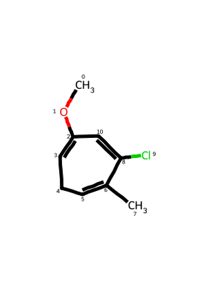 COC1=CCC=C(C)C(Cl)=C1